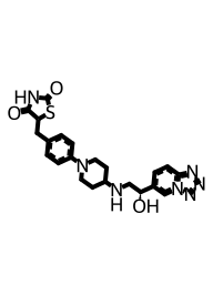 O=C1NC(=O)C(Cc2ccc(N3CCC(NC[C@@H](O)c4ccc5nnnn5c4)CC3)cc2)S1